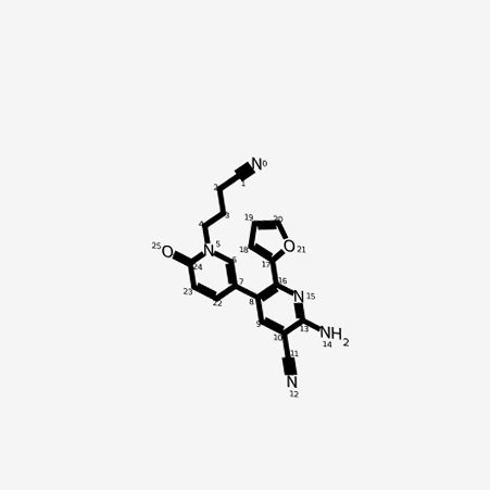 N#CCCCn1cc(-c2cc(C#N)c(N)nc2-c2ccco2)ccc1=O